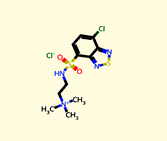 C[N+](C)(C)CCNS(=O)(=O)c1ccc(Cl)c2nsnc12.[Cl-]